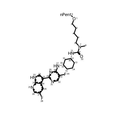 CCCCCOCCCCCN(C)C(=O)N[C@@H]1CCC[C@H](Nc2nc(-c3c[nH]c4ncc(F)cc34)ncc2F)C1